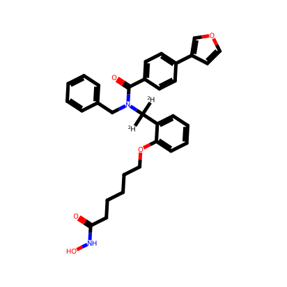 [2H]C([2H])(c1ccccc1OCCCCCC(=O)NO)N(Cc1ccccc1)C(=O)c1ccc(-c2ccoc2)cc1